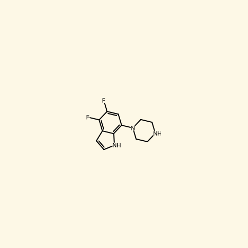 Fc1cc(N2CCNCC2)c2[nH]ccc2c1F